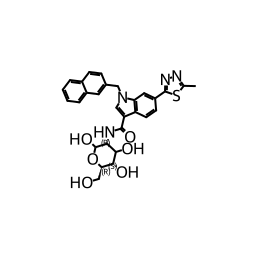 Cc1nnc(-c2ccc3c(C(=O)N[C@H]4C(O)O[C@H](CO)[C@@H](O)C4O)cn(Cc4ccc5ccccc5c4)c3c2)s1